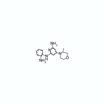 CC1COCCN1c1cc(N)nc(Nc2ccccc2N)c1